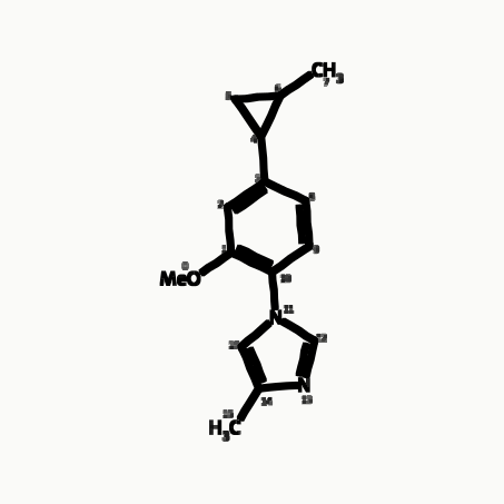 COc1cc(C2CC2C)ccc1-n1cnc(C)c1